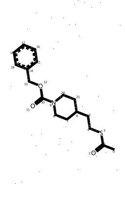 CC(=O)SCCC1CCN(C(=O)OCc2ccccc2)CC1